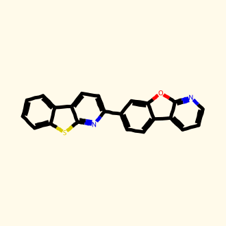 c1ccc2c(c1)sc1nc(-c3ccc4c(c3)oc3ncccc34)ccc12